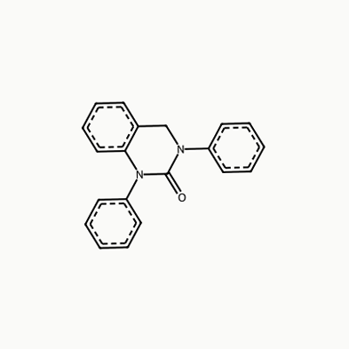 O=C1N(c2ccccc2)Cc2ccccc2N1c1ccccc1